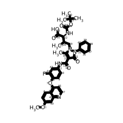 COc1ccc2c(Oc3ccc(NC(=O)c4c(C)n(CC(C)[C@H](NC(=O)OC(C)(C)C)C(=O)O)n(-c5ccccc5)c4=O)cc3F)ccnc2c1